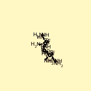 N=C(N)NCCSc1cc(SCCN)c(NC(=O)c2cc(C(=O)Nc3cc(C(F)(F)F)c(SCCNC(=N)N)cc3SCCN)ncn2)cc1C(F)(F)F